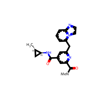 CNC(=O)c1cc(C(=O)N[C@H]2C[C@@H]2C)cc(Cc2cccc3nccn23)n1